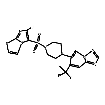 O=S(=O)(c1c(Cl)nc2sccn12)N1CCC(c2cn3ncnc3cc2C(F)(F)F)CC1